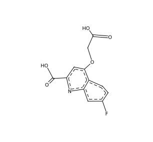 O=C(O)COc1cc(C(=O)O)nc2cc(F)ccc12